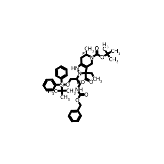 CCC1(C(=O)O)C2=C(C[C@@H](C)N(C(=O)OC(C)(C)C)C2)NN1C(CNC(=O)OCc1ccccc1)CO[Si](c1ccccc1)(c1ccccc1)C(C)(C)C